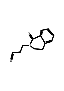 O=CCCN1CCc2ccccc2C1=O